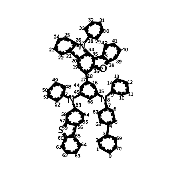 c1ccc(-c2ccc(N(c3ccccc3)c3cc(-c4cc5c6ccccc6n(-c6ccccc6)c5c5c4oc4ccccc45)cc(N(c4ccccc4)c4ccc5c(c4)sc4ccccc45)c3)cc2)cc1